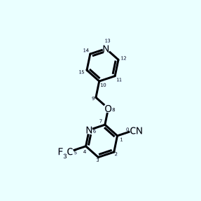 N#Cc1ccc(C(F)(F)F)nc1OCc1ccncc1